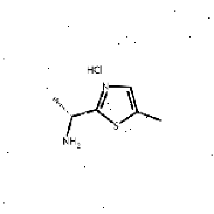 Cc1cnc([C@@H](C)N)s1.Cl